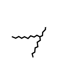 [CH2]CCCC(CCCCCCC)CCCCCCCCC